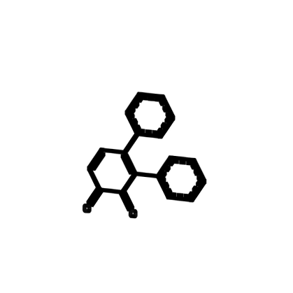 O=C1C=CC(c2ccccc2)=C(c2ccccc2)C1=O